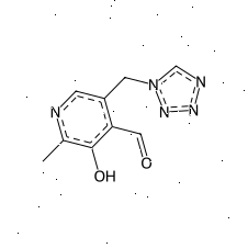 Cc1ncc(Cn2cnnn2)c(C=O)c1O